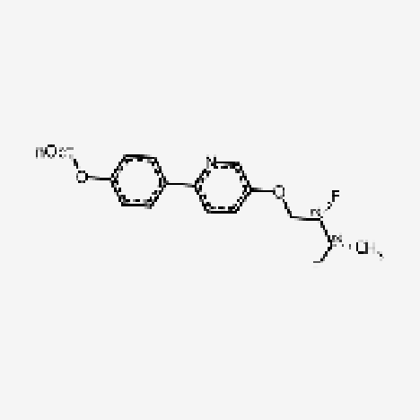 CCCCCCCCOc1ccc(-c2ccc(OC[C@H](F)[C@H](C)F)cn2)cc1